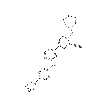 N#Cc1cc(-c2ccnc(Nc3ccc(-n4cnnc4)cc3)n2)ccc1OC1CCOCC1